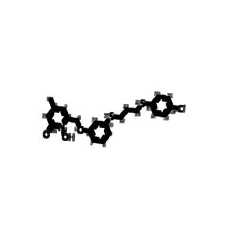 Cc1cc(COc2cccc(SCCCSc3ccc(Cl)cc3)c2)n(O)c(=O)c1